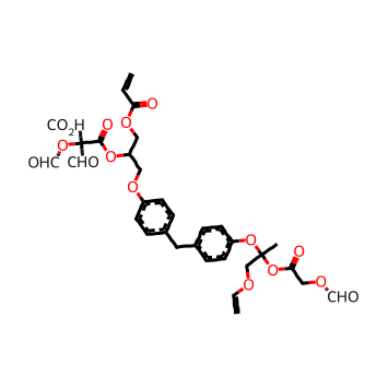 C=COCC(C)(OC(=O)COC=O)Oc1ccc(Cc2ccc(OCC(COC(=O)C=C)OC(=O)C(C=O)(OC=O)C(=O)O)cc2)cc1